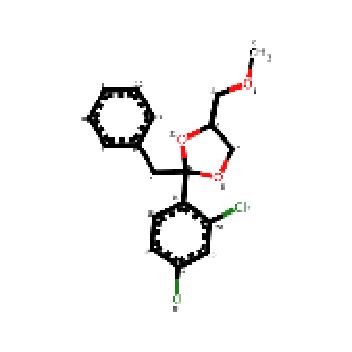 COCC1COC(Cc2ccccc2)(c2ccc(Cl)cc2Cl)O1